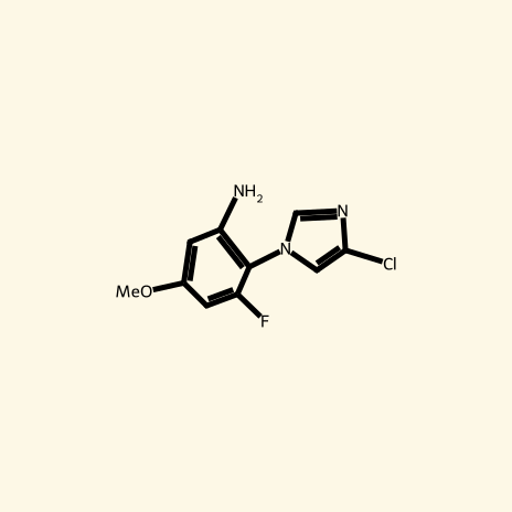 COc1cc(N)c(-n2cnc(Cl)c2)c(F)c1